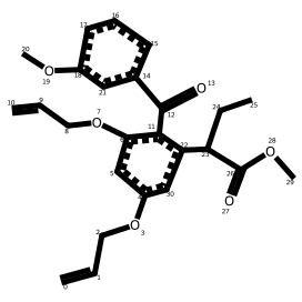 C=CCOc1cc(OCC=C)c(C(=O)c2cccc(OC)c2)c(C(CC)C(=O)OC)c1